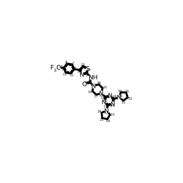 O=C(Nc1nc(-c2ccc(C(F)(F)F)cc2)cs1)N1CCN(c2nc(N3CCCC3)nc(N3CCCC3)n2)CC1